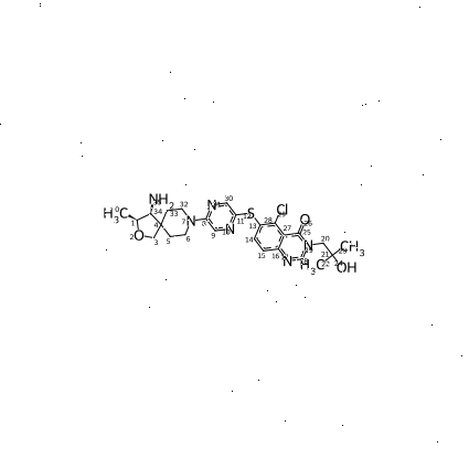 C[C@@H]1OCC2(CCN(c3cnc(Sc4ccc5ncn(CC(C)(C)O)c(=O)c5c4Cl)cn3)CC2)[C@@H]1N